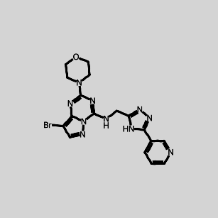 Brc1cnn2c(NCc3nnc(-c4cccnc4)[nH]3)nc(N3CCOCC3)nc12